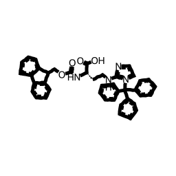 O=C(N[C@@H](CCNc1nccn1C(c1ccccc1)(c1ccccc1)c1ccccc1)C(=O)O)OCC1c2ccccc2-c2ccccc21